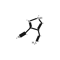 C=CC1=C[AsH]N=C1C#N